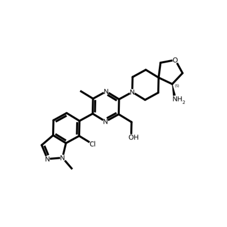 Cc1nc(N2CCC3(CC2)COC[C@H]3N)c(CO)nc1-c1ccc2cnn(C)c2c1Cl